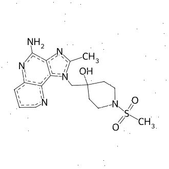 Cc1nc2c(N)nc3cccnc3c2n1CC1(O)CCN(S(C)(=O)=O)CC1